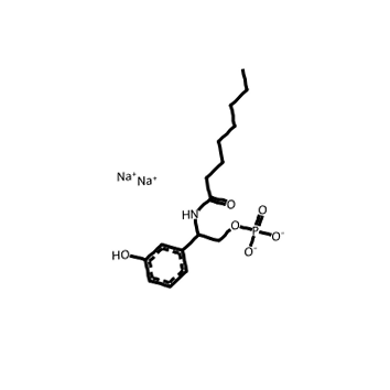 CCCCCCCC(=O)NC(COP(=O)([O-])[O-])c1cccc(O)c1.[Na+].[Na+]